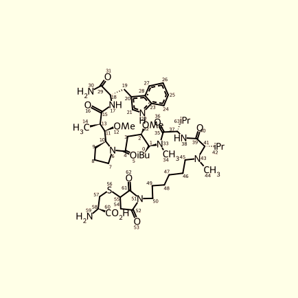 CC[C@H](C)[C@@H]([C@@H](CC(=O)N1CCC[C@H]1[C@H](OC)[C@@H](C)C(=O)N[C@@H](Cc1c[nH]c2ccccc12)C(N)=O)OC)N(C)C(=O)[C@@H](NC(=O)[C@H](C(C)C)N(C)CCCCCCN1C(=O)CC(SC[C@H](N)C(=O)O)C1=O)C(C)C